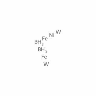 B.B.[Fe].[Fe].[Ni].[W].[W]